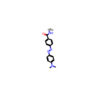 CCCCNC(=O)c1ccc(/N=N/c2ccc(N(C)C)cc2)cc1